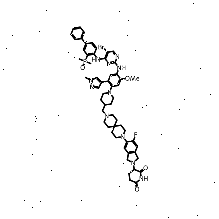 COc1cc(N2CCC(CN3CCC4(CC3)CCN(c3cc5c(cc3F)CN(C3CCC(=O)NC3=O)C5)CC4)CC2)c(-c2cnn(C)c2)cc1Nc1ncc(Br)c(Nc2ccc(-c3ccccc3)cc2P(C)(C)=O)n1